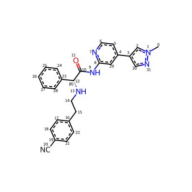 Cn1cc(-c2ccnc(NC(=O)[C@H](NCCc3ccc(C#N)cc3)c3ccccc3)c2)cn1